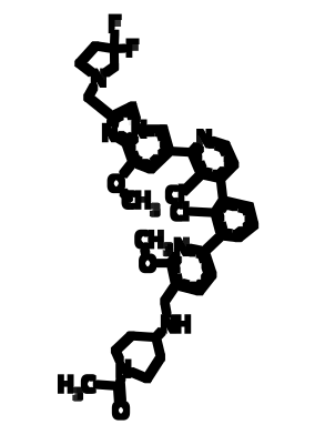 COc1nc(-c2cccc(-c3ccnc(-c4cc(OC)c5nc(CN6CCC(F)(F)C6)cn5c4)c3Cl)c2Cl)ccc1CNC1CCN(C(C)=O)CC1